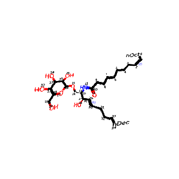 CCCCCCCC/C=C\CCCCCCCC(=O)N[C@@H](COC1OC(CO)C(O)C(O)C1O)[C@H](O)/C=C/CCCCCCCCCCCCC